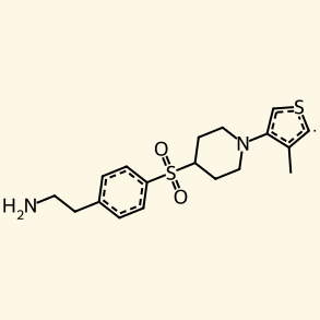 Cc1[c]scc1N1CCC(S(=O)(=O)c2ccc(CCN)cc2)CC1